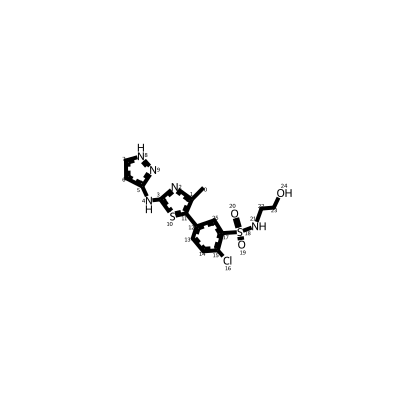 Cc1nc(Nc2cc[nH]n2)sc1-c1ccc(Cl)c(S(=O)(=O)NCCO)c1